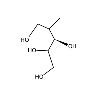 CC(CO)[C@@H](O)C(O)CO